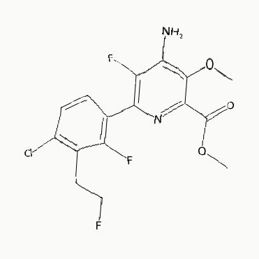 COC(=O)c1nc(-c2ccc(Cl)c(CCF)c2F)c(F)c(N)c1OC